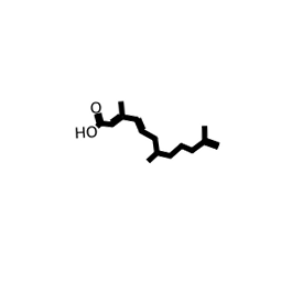 C=C(C)CCCC(C)CC=CC(C)=CC(=O)O